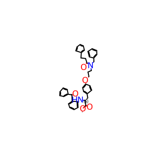 COC(=O)[C@H](Cc1ccc(OCCCN(Cc2ccccc2)C(=O)CCc2ccccc2)cc1)Nc1ccccc1C(=O)c1ccccc1